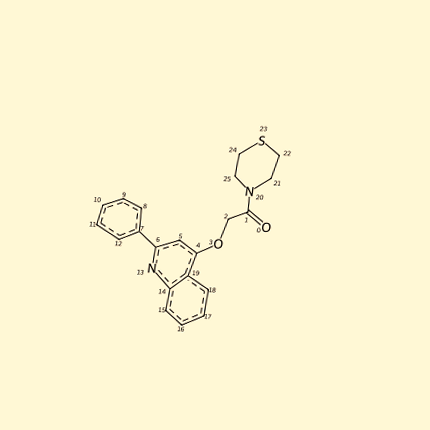 O=C(COc1cc(-c2ccccc2)nc2ccccc12)N1CCSCC1